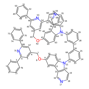 c1ccc(-c2cc(COc3ccc4c(c3)c3cnccc3n4-c3cccc(-c4cccc(-n5c6ccncc6c6cc(OCc7cc(-c8ccccc8)nc(-c8ccccc8)c7)ccc65)c4)c3)cc(-c3ccccc3)n2)cc1